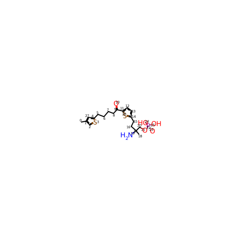 Cc1csc(CCCCC(=O)c2ccc(CCC(C)(N)COP(=O)(O)O)s2)c1